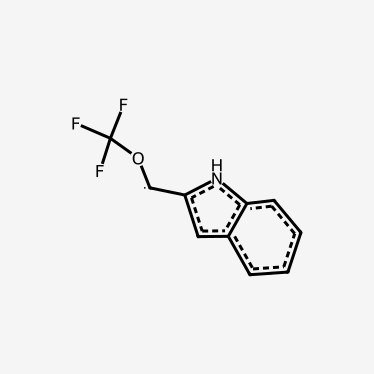 FC(F)(F)O[CH]c1cc2ccccc2[nH]1